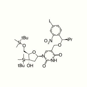 CC(C)[C@@H](OCc1cn([C@H]2C[C@@](O)([Si](C)(C)C(C)(C)C)[C@@H](CO[Si](C)(C)C(C)(C)C)O2)c(=O)[nH]c1=O)c1ccc(I)cc1[N+](=O)[O-]